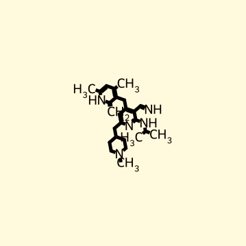 C=C1NC(C)=CC(C)=C1Cc1cc(CC2CCN(C)CC2)nc(NC(C)C)c1C=N